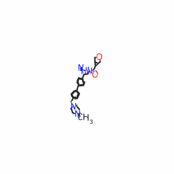 CN1CCN(Cc2ccc(-c3ccc([C@H](C#N)CNC(=O)C4C5COCC54)cc3)cc2)CC1